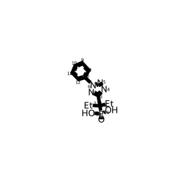 CCC(CC)(c1nnn(-c2ccccc2)n1)P(=O)(O)O